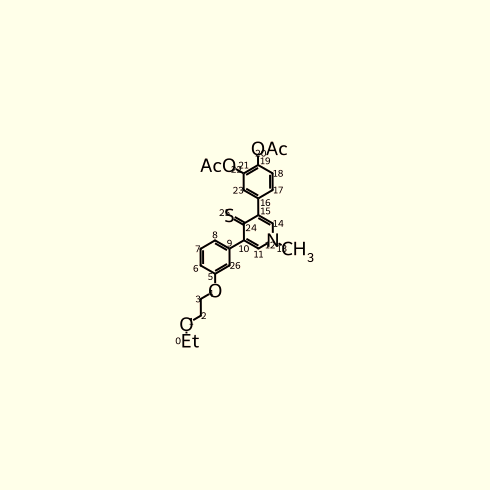 CCOCCOc1cccc(-c2cn(C)cc(-c3ccc(OC(C)=O)c(OC(C)=O)c3)c2=S)c1